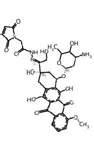 COc1cccc2c1C(=O)c1c(O)c3c(c(O)c1C2=O)C[C@@](O)(/C(CO)=N/NC(=O)CN1C(=O)C=CC1=O)CC3O[C@H]1CC(N)C(O)C(C)O1